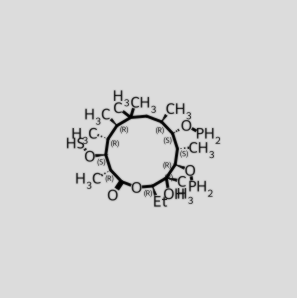 CC[C@H]1OC(=O)[C@H](C)[C@@H](OS)[C@H](C)[C@@H](C)C(C)(C)C[C@@H](C)[C@H](OP)[C@H](C)[C@@H](OP)[C@]1(C)O